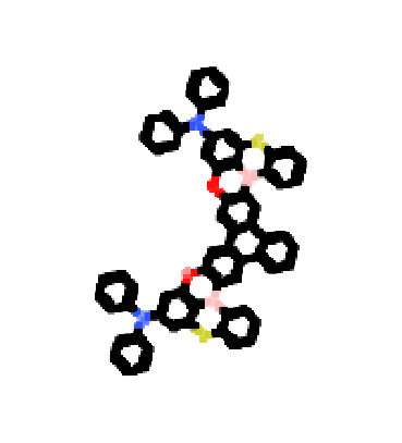 c1ccc(N(c2ccccc2)c2cc3c4c(c2)Sc2ccccc2B4c2cc4c5ccccc5c5cc6c(cc5c4cc2O3)Oc2cc(N(c3ccccc3)c3ccccc3)cc3c2B6c2ccccc2S3)cc1